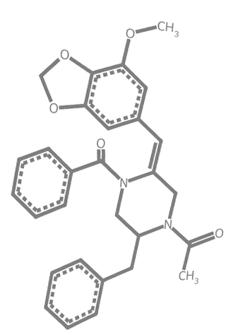 COc1cc(/C=C2/CN(C(C)=O)C(Cc3ccccc3)CN2C(=O)c2ccccc2)cc2c1OCO2